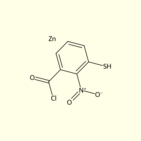 O=C(Cl)c1cccc(S)c1[N+](=O)[O-].[Zn]